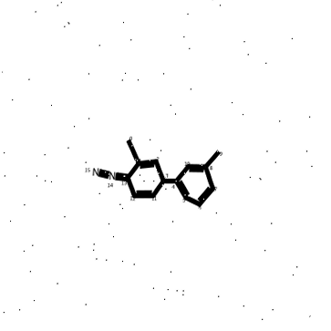 CC1=CC(c2cccc(C)c2)C=CC1=[N+]=[N-]